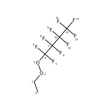 CCOOC(F)(F)C(F)(F)C(F)(F)C(F)(F)F